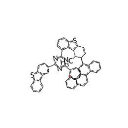 CC1c2c(sc3cccc(-c4nc(-c5ccccc5)nc(-c5ccc6sc7ccccc7c6c5)n4)c23)C=CC1c1cc2c3ccccc3ccc2c2ccccc12